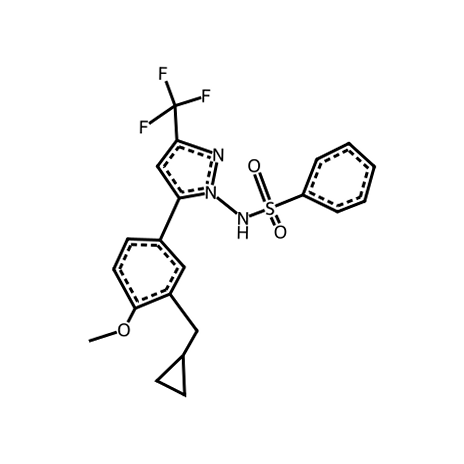 COc1ccc(-c2cc(C(F)(F)F)nn2NS(=O)(=O)c2ccccc2)cc1CC1CC1